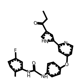 CCC(=O)c1c[nH]c(-c2cc(Oc3ccc(NC(=O)Nc4cc(F)ccc4C)cc3)ccn2)c1